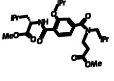 COC(=O)CCN(CC(C)C)C(=O)c1ccc(C(=O)N[C@@H](CC(C)C)C(=O)OC)c(OC(C)C)c1